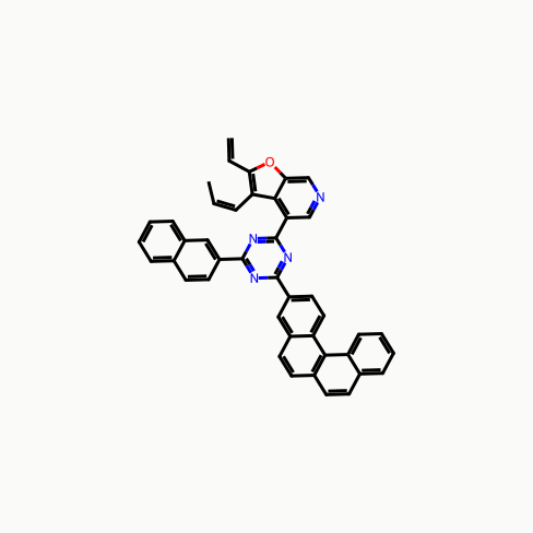 C=Cc1oc2cncc(-c3nc(-c4ccc5ccccc5c4)nc(-c4ccc5c(ccc6ccc7ccccc7c65)c4)n3)c2c1/C=C\C